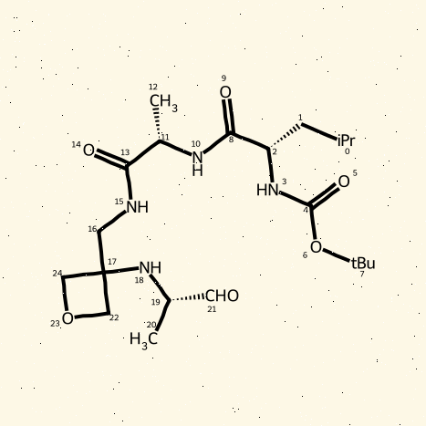 CC(C)C[C@H](NC(=O)OC(C)(C)C)C(=O)N[C@@H](C)C(=O)NCC1(N[C@@H](C)C=O)COC1